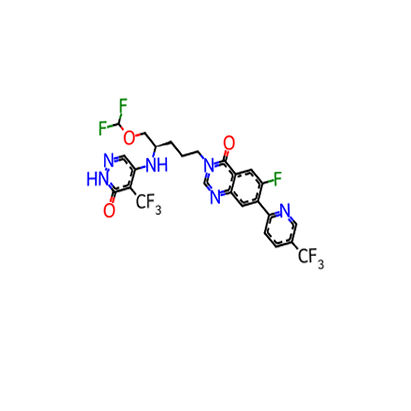 O=c1[nH]ncc(N[C@H](CCCn2cnc3cc(-c4ccc(C(F)(F)F)cn4)c(F)cc3c2=O)COC(F)F)c1C(F)(F)F